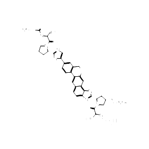 CCC(C)C(NC(=O)OC)C(=O)N1C[C@@H](C)C[C@H]1c1ncc(-c2ccc3c(c2)COc2cc4c(ccc5nc([C@@H]6C[C@H](COC)CN6C(=O)C(NC(=O)O)C(C)CC)[nH]c54)cc2-3)[nH]1